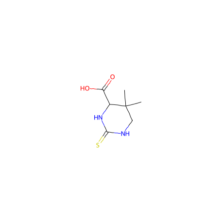 CC1(C)CNC(=S)NC1C(=O)O